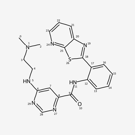 CN(C)CCNc1cc(C(=O)Nc2ccccc2-c2nc3cccnc3s2)ncn1